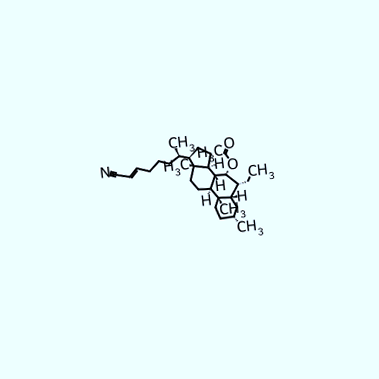 CC[C@H]1[C@@H](OC(C)=O)[C@@H]2[C@H](CC[C@]3(C)[C@@H]([C@H](C)CCC/C=C/C#N)CC[C@@H]23)[C@@]2(C)CC[C@@H](C)C[C@@H]12